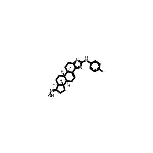 C[C@]12CCc3nc(Nc4ccc(F)cc4)sc3C1=CC[C@@H]1[C@@H]2CC[C@]2(C)/C(=N/O)CC[C@@H]12